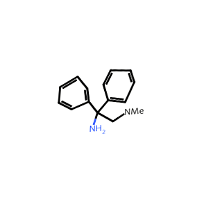 CNCC(N)(c1ccccc1)c1ccccc1